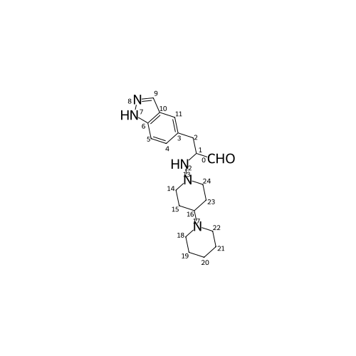 O=CC(Cc1ccc2[nH]ncc2c1)NN1CCC(N2CCCCC2)CC1